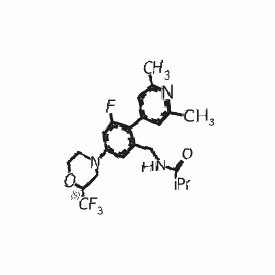 Cc1cc(-c2c(F)cc(N3CCO[C@H](C(F)(F)F)C3)cc2CNC(=O)C(C)C)cc(C)n1